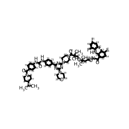 CN(C)C1CCN(C(=O)c2ccc(NC(=O)Nc3ccc(-c4nc(N5CCOCC5)nc(N5CCN(C(=O)C(C)(C)COC(C)(C)CCONC(=O)c6ccc(F)c(F)c6Nc6ccc(I)cc6F)CC5)n4)cc3)cc2)CC1